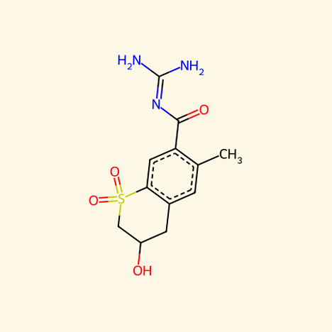 Cc1cc2c(cc1C(=O)N=C(N)N)S(=O)(=O)CC(O)C2